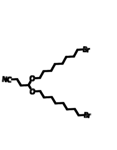 N#CCCC(OCCCCCCCCBr)OCCCCCCCCBr